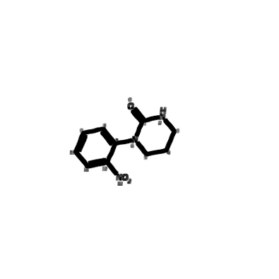 O=C1NCCCN1c1ccccc1[N+](=O)[O-]